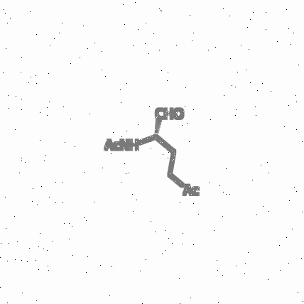 CC(=O)CC[C@@H](C=O)NC(C)=O